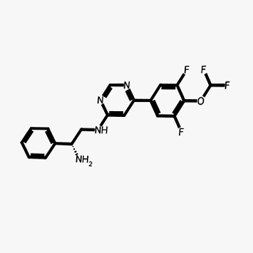 N[C@@H](CNc1cc(-c2cc(F)c(OC(F)F)c(F)c2)ncn1)c1ccccc1